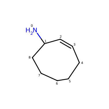 NC1/C=C\CCCCC1